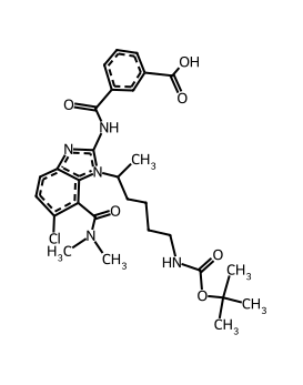 CC(CCCCNC(=O)OC(C)(C)C)n1c(NC(=O)c2cccc(C(=O)O)c2)nc2ccc(Cl)c(C(=O)N(C)C)c21